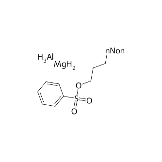 CCCCCCCCCCCCOS(=O)(=O)c1ccccc1.[AlH3].[MgH2]